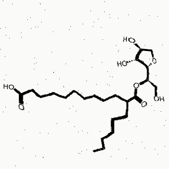 CCCCCCC(CCCCCCCCCC(=O)O)C(=O)O[C@H](CO)[C@H]1OC[C@H](O)[C@H]1O